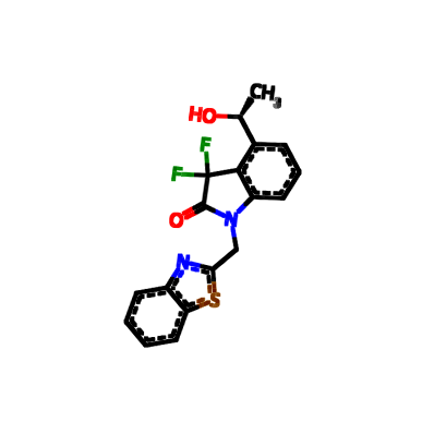 C[C@H](O)c1cccc2c1C(F)(F)C(=O)N2Cc1nc2ccccc2s1